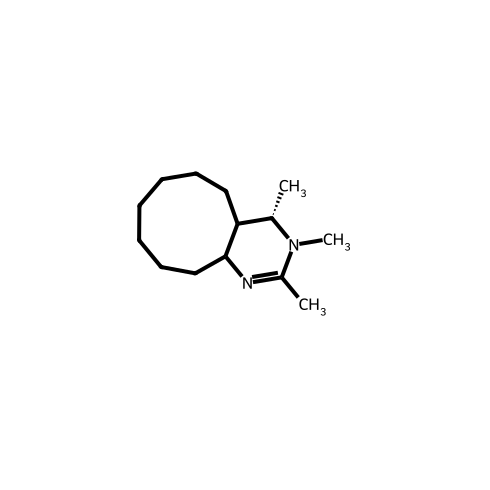 CC1=NC2CCCCCCCC2[C@H](C)N1C